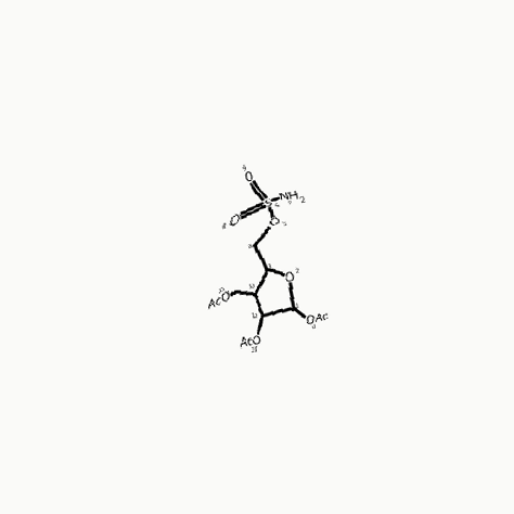 CC(=O)OC1OC(COS(N)(=O)=O)C(OC(C)=O)C1OC(C)=O